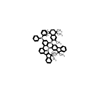 Cc1cc2c(cc1N1c3cc4c(cc3B3c5c(cc(N(c6ccccc6)c6ccccc6)cc51)-c1cccc5c6c(n3c15)C(C)(C)c1ccccc1-6)C(C)(C)c1ccccc1-4)C(C)(C)CCC2(C)C